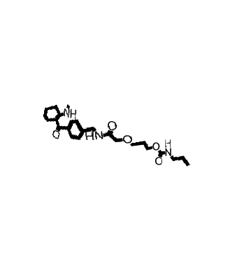 CCCNC(=O)OCCCOCC(=O)NCc1ccc(C(=O)C2=C(NC)CCCC2)cc1